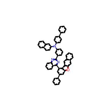 c1ccc(-c2ccc(N(c3cccc(-c4nc(-c5cc(-c6ccccc6)cc6oc7cc8ccccc8cc7c56)c5ccccc5n4)c3)c3ccc4ccccc4c3)cc2)cc1